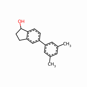 Cc1cc(C)cc(-c2ccc3c(c2)CCC3O)c1